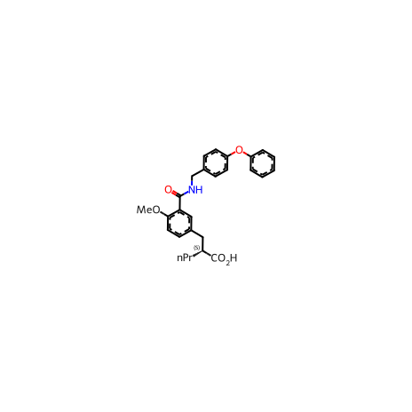 CCC[C@@H](Cc1ccc(OC)c(C(=O)NCc2ccc(Oc3ccccc3)cc2)c1)C(=O)O